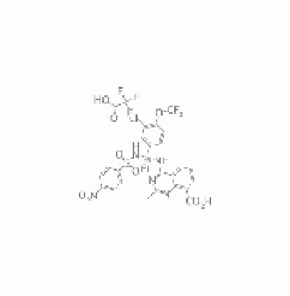 CC[C@](Nc1nc(C)nc2c(C(=O)O)cccc12)(NS(=O)(=O)c1ccc([N+](=O)[O-])cc1)c1ccc(OC(F)(F)F)c(Cl)c1.O=C(O)C(F)(F)F